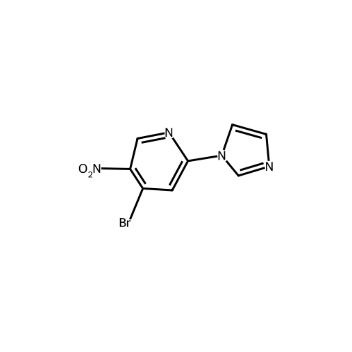 O=[N+]([O-])c1cnc(-n2ccnc2)cc1Br